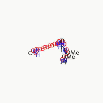 COc1cc2c(cc1OCCCOc1cc3c(cc1OC)C(=O)N1C=C(C4CC4)C[C@H]1C=N3)N=C[C@@H]1CC(c3ccc(NC(=O)[C@H](C)NC(=O)C(NC(=O)CCOCCOCCOCCOCCOCCOCCOCCOCCNC(=O)CCN4C(=O)CC(C5=C/C=C\C=C/C=C\C=C/C=C\5)C4=O)C(C)C)cc3)=CN1C2=O